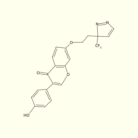 O=c1c(-c2ccc(O)cc2)coc2cc(OCCC3(C(F)(F)F)C=CN=N3)ccc12